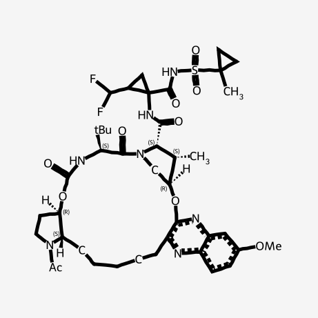 COc1ccc2nc3c(nc2c1)O[C@H]1CN(C(=O)[C@H](C(C)(C)C)NC(=O)O[C@@H]2CCN(C(C)=O)[C@H]2CCCCC3)[C@H](C(=O)NC2(C(=O)NS(=O)(=O)C3(C)CC3)CC2C(F)F)[C@@H]1C